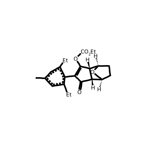 CCOC(=O)OC1=C(c2c(CC)cc(C)cc2CC)C(=O)[C@@H]2[C@H]1[C@H]1CC[C@@H]2O1